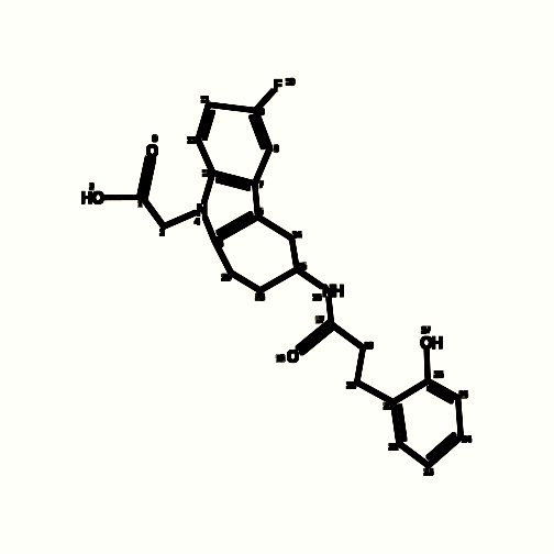 O=C(O)Cn1c2c(c3cc(F)ccc31)CC(NC(=O)CCc1ccccc1O)CC2